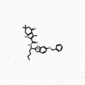 CCCCC(NC(=O)c1[nH]c2c(c1C)C(=O)CC(C)(C)C2)c1nc2ccc(OCc3ccccc3)cc2[nH]1